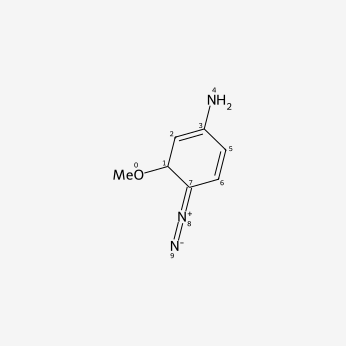 COC1C=C(N)C=CC1=[N+]=[N-]